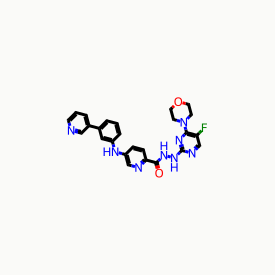 O=C(NNc1ncc(F)c(N2CCOCC2)n1)c1ccc(Nc2cccc(-c3cccnc3)c2)cn1